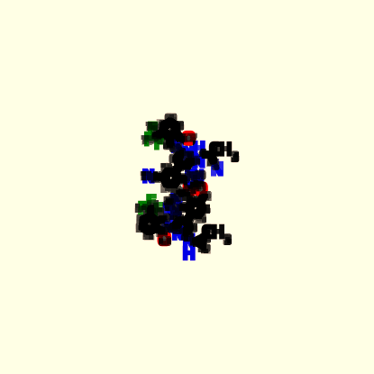 C[C@H](C#N)CNc1cc(-c2cc(C#N)ccc2-c2nncn2CCn2cnnc2-c2cc(CO)ccc2-c2cc(N[C@H]3C[C@@H]3C)nc(N3Cc4c(cccc4C(F)(F)F)C3=O)c2)cc(N2Cc3c(cccc3C(F)(F)F)C2=O)n1